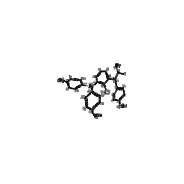 CC(C)C(C)N(c1ccc(C(C)(C)C)cc1)c1cccc(N(c2ccc(C(C)(C)C)cc2)c2ccc(C(C)(C)C)cc2)c1Cl